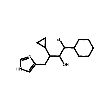 CCC(C1CCCCC1)C(O)C(Cc1c[nH]cn1)C1CC1